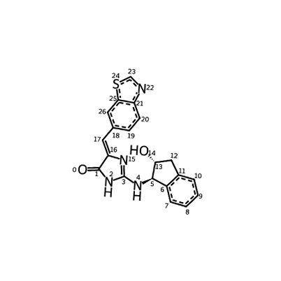 O=C1NC(N[C@@H]2c3ccccc3C[C@H]2O)=N/C1=C\c1ccc2ncsc2c1